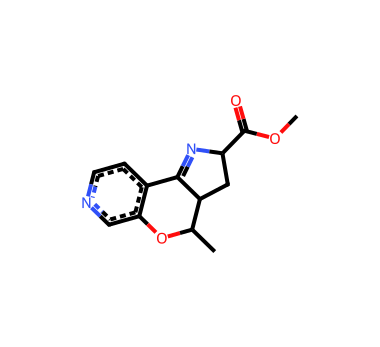 COC(=O)C1CC2C(=N1)c1ccncc1OC2C